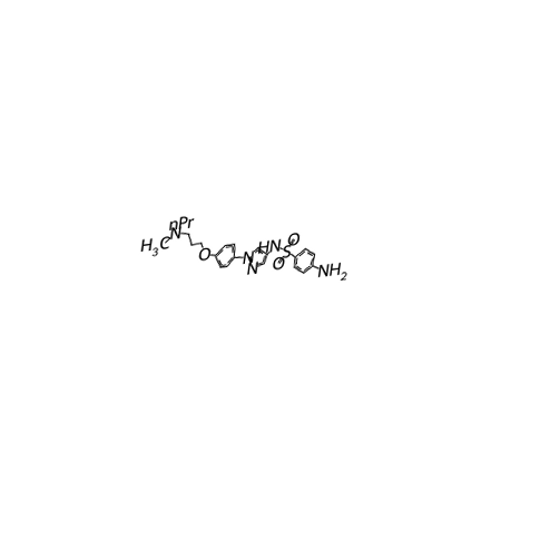 CCCN(C)CCCOc1ccc(-n2cc(NS(=O)(=O)c3ccc(N)cc3)cn2)cc1